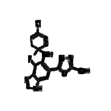 CC1(Nc2c(-c3nnc(O)o3)cc3[nH]cnc3c2F)C=CC(Cl)=CC1